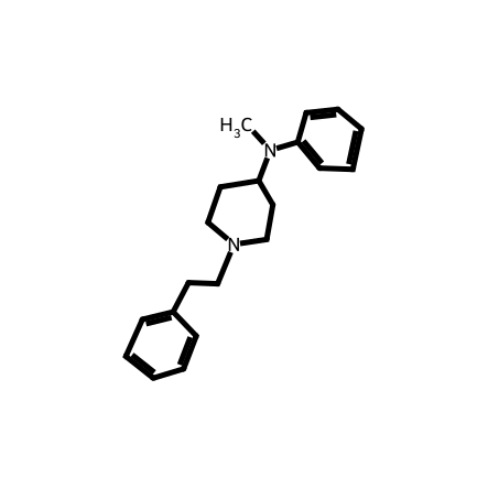 CN(c1ccccc1)C1CCN(CCc2ccccc2)CC1